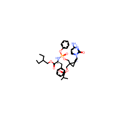 CCC(CC)COC(=O)[C@H](Cc1ccccc1)NP(=O)(OCC1(COC(=O)C(C)C)C/C1=C/n1ccc(N)nc1=O)Oc1ccccc1